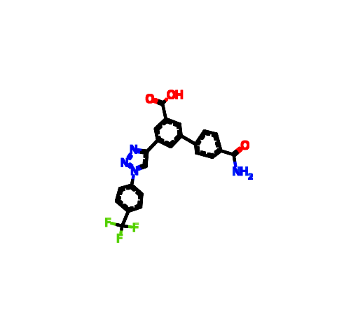 NC(=O)c1ccc(-c2cc(C(=O)O)cc(-c3cn(-c4ccc(C(F)(F)F)cc4)nn3)c2)cc1